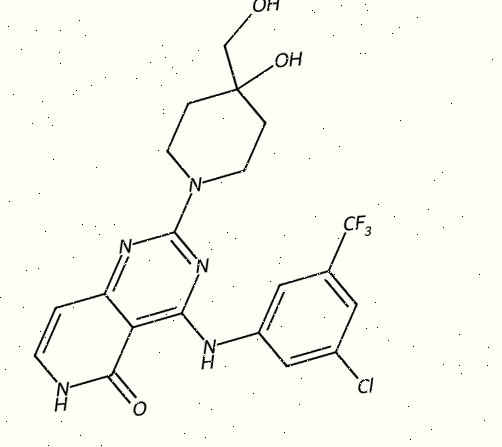 O=c1[nH]ccc2nc(N3CCC(O)(CO)CC3)nc(Nc3cc(Cl)cc(C(F)(F)F)c3)c12